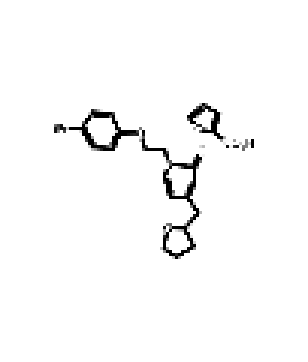 CC(C)c1ccc(OCCn2ccc(CC3CCCO3)cc2=O)cc1.O=C(O)c1ccco1